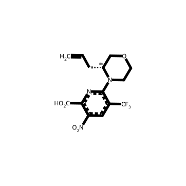 C=CC[C@@H]1COCCN1c1nc(C(=O)O)c([N+](=O)[O-])cc1C(F)(F)F